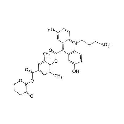 Cc1cc(C(=O)ON2OCCCC2=O)cc(C)c1OC(=O)c1c2cc(O)ccc2[n+](CCCS(=O)(=O)O)c2ccc(O)cc12